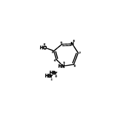 Br.Br.OC1=CNC=CN=C1